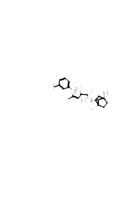 Cc1cc(C(=O)N[C@@H]2C[C@@H]3CC[C@H]2C3)nn1-c1cccc(Cl)c1